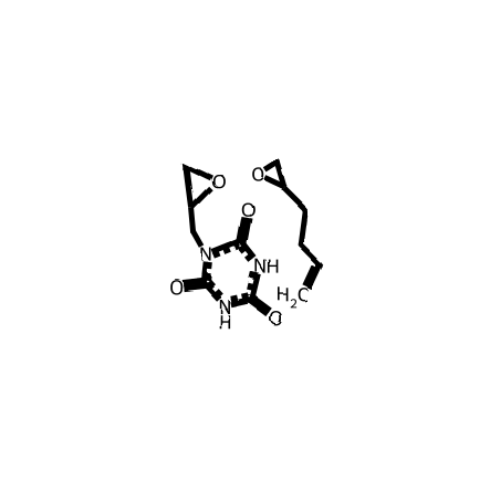 C=CCCC1CO1.O=c1[nH]c(=O)n(CC2CO2)c(=O)[nH]1